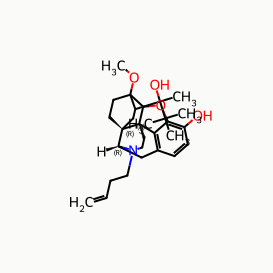 C=CCCN1CC[C@]23c4c5ccc(O)c4OC2C2(OC)CC[C@]3(CC2C(C)(O)C(C)(C)C)[C@H]1C5